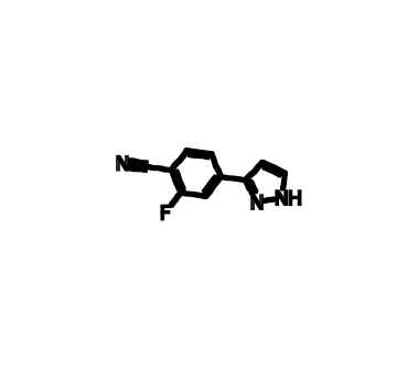 N#Cc1ccc(-c2cc[nH]n2)cc1F